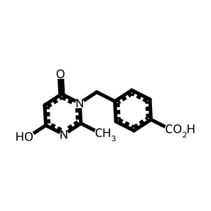 Cc1nc(O)cc(=O)n1Cc1ccc(C(=O)O)cc1